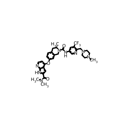 C[C@@H]1Cc2ccc(Oc3ccnc4[nH]c(C(=O)N(C)C)cc34)cc2CN1C(=O)Nc1cnc(CN2CCN(C)CC2)c(C(F)(F)F)c1